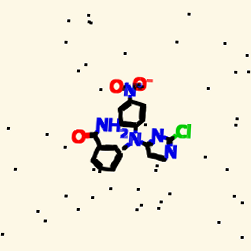 CN(c1ccc([N+](=O)[O-])cc1)c1ccnc(Cl)n1.NC(=O)c1ccccc1